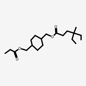 CCC(=O)OCC1CCC(COC(=O)CCC(C)(CC)CC)CC1